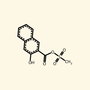 CS(=O)(=O)OC(=O)c1cc2ccccc2cc1O